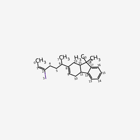 C/C=C(/I)CCC(C)C1=CCC2c3ccccc3C(C)(C)C2C1